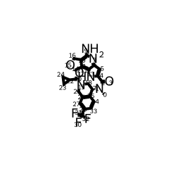 CN(C(=O)c1cc2nc(N)c3c(c2[nH]1)COC3)[C@H]1CN(C(=O)C2CC2)Cc2cc(C(F)(F)F)ccc21